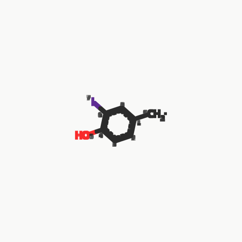 [CH2]c1ccc(O)c(I)c1